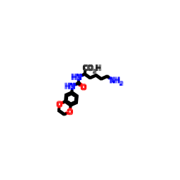 NCCCCC(NC(=O)Nc1ccc2c(c1)OCCO2)C(=O)O